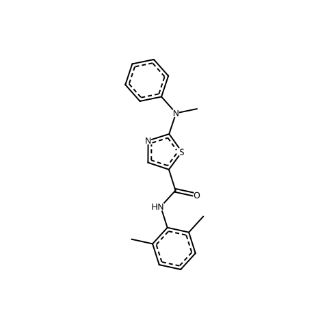 Cc1cccc(C)c1NC(=O)c1cnc(N(C)c2ccccc2)s1